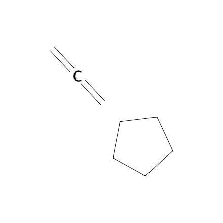 C1CCCC1.C=C=C